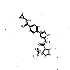 O=C(NC1CC1)c1ccc(-c2csc(NC(=O)[C@H]3CCC[C@@H]3C(=O)O)n2)cc1